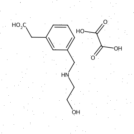 O=C(O)C(=O)O.O=C(O)Cc1cccc(CNCCO)c1